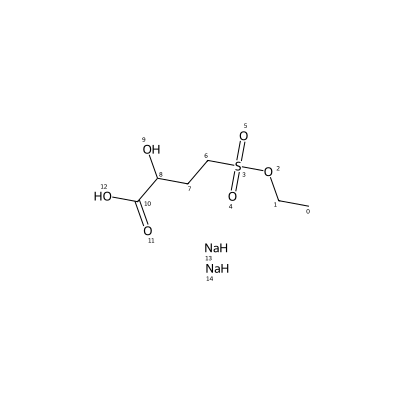 CCOS(=O)(=O)CCC(O)C(=O)O.[NaH].[NaH]